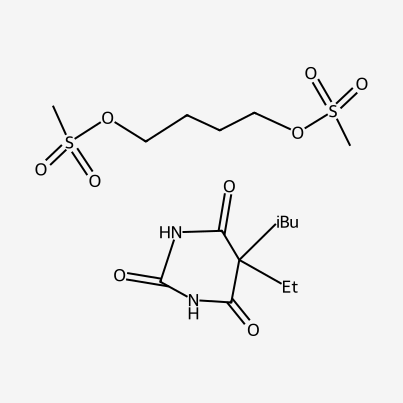 CCC(C)C1(CC)C(=O)NC(=O)NC1=O.CS(=O)(=O)OCCCCOS(C)(=O)=O